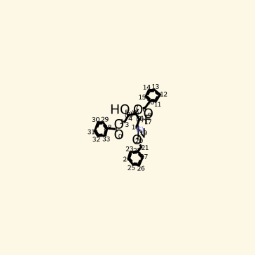 O=C(OC[C@@H](O)[C@@H](OC(=O)c1ccccc1)[C@H](F)/C=N/OCc1ccccc1)c1ccccc1